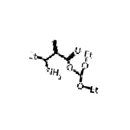 C=C(C(=O)OC(OCC)OCC)C([SiH3])CC